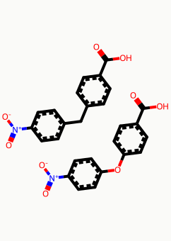 O=C(O)c1ccc(Cc2ccc([N+](=O)[O-])cc2)cc1.O=C(O)c1ccc(Oc2ccc([N+](=O)[O-])cc2)cc1